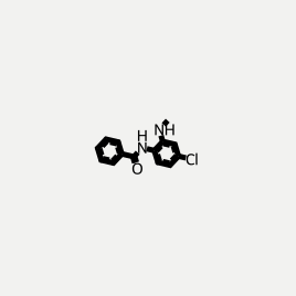 CNc1cc(Cl)ccc1NC(=O)c1ccccc1